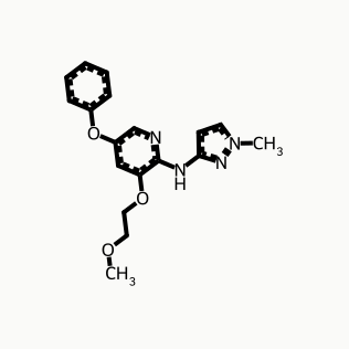 COCCOc1cc(Oc2ccccc2)cnc1Nc1ccn(C)n1